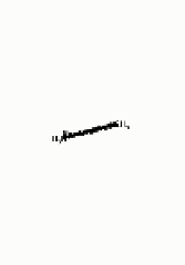 CCOCCOCCOCCOCCCCCCCCCCC(N)S